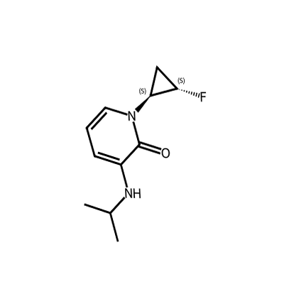 CC(C)Nc1cccn([C@H]2C[C@@H]2F)c1=O